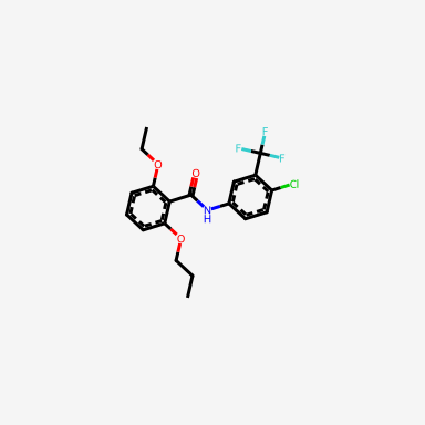 CCCOc1cccc(OCC)c1C(=O)Nc1ccc(Cl)c(C(F)(F)F)c1